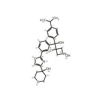 CC(C)c1ccc(C(O)(c2cncc(-c3nc(C4(O)CCOCC4)no3)c2)C2(C)CNC2)cc1.Cl